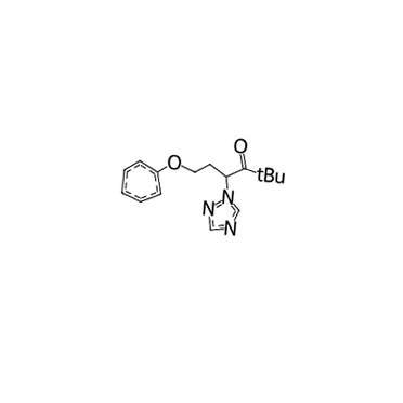 CC(C)(C)C(=O)C(CCOc1ccccc1)n1cncn1